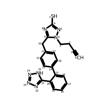 C#CCCn1nc(S)nc1Cc1ccc(-c2ccccc2-c2nnn[nH]2)cc1